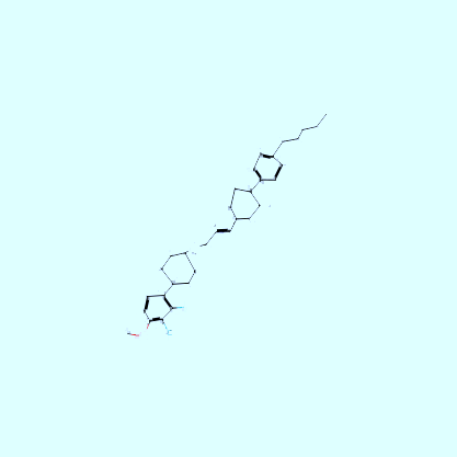 CCCCCc1ccc(C2CCC(/C=C/CCC3CCC(c4ccc(OC)c(F)c4F)CC3)CC2)cc1